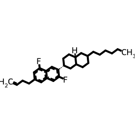 C=CCCc1cc(F)c2cc([C@@H]3CC[C@@H]4CC(CCCCCC)CCC4C3)c(F)cc2c1